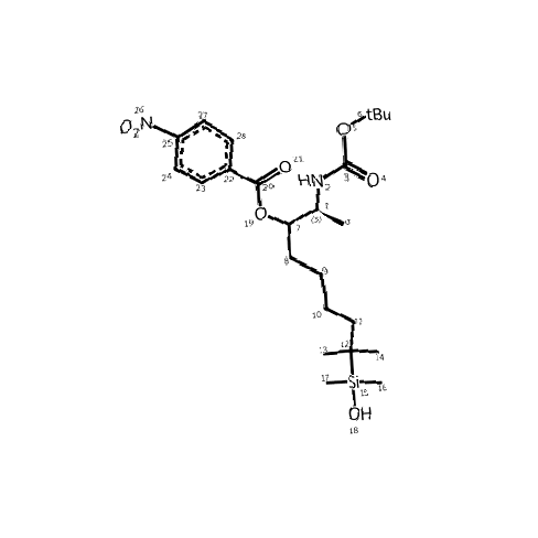 C[C@H](NC(=O)OC(C)(C)C)C(CCCCC(C)(C)[Si](C)(C)O)OC(=O)c1ccc([N+](=O)[O-])cc1